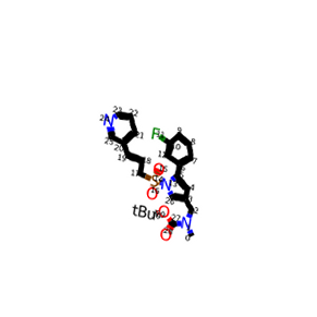 CN(Cc1cc(-c2cccc(F)c2)n(S(=O)(=O)CC=Cc2cccnc2)c1)C(=O)OC(C)(C)C